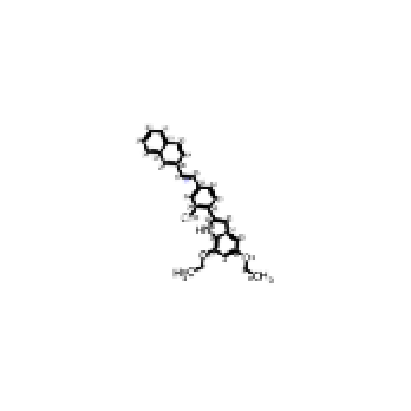 CCOc1cc(OCC)c2[nH]c(-c3ccc(/C=C/c4ccc5ccccc5c4)cc3Cl)cc2c1